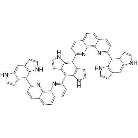 c1cc2c(-c3ccc4ccc5ccc(-c6c7cc[nH]c7c(-c7ccc8ccc9ccc(-c%10c%11cc[nH]c%11cc%11cc[nH]c%10%11)nc9c8n7)c7cc[nH]c67)nc5c4n3)c3[nH]ccc3cc2[nH]1